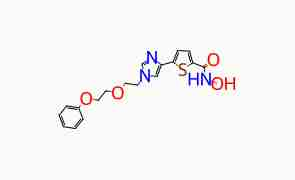 O=C(NO)c1ccc(-c2cn(CCOCCOc3ccccc3)cn2)s1